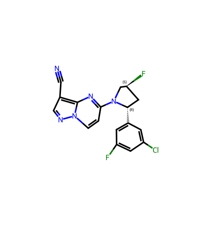 N#Cc1cnn2ccc(N3C[C@@H](F)C[C@@H]3c3cc(F)cc(Cl)c3)nc12